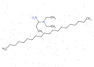 CCC(N)N(CC)CC.CCCCCCCCCCCCCCCCCCCC